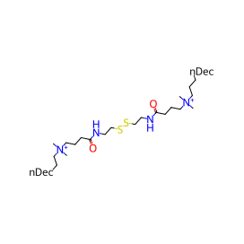 CCCCCCCCCCCCC[N+](C)(C)CCCC(=O)NCCSSCCNC(=O)CCC[N+](C)(C)CCCCCCCCCCCC